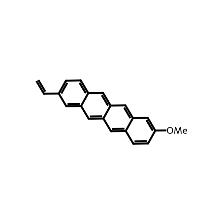 C=Cc1ccc2cc3cc4cc(OC)ccc4cc3cc2c1